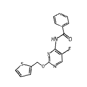 O=C(Nc1nc(OCc2cccs2)ncc1F)c1ccccc1